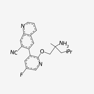 CC(C)CC(C)(N)COc1ncc(F)cc1-c1cc2cccnc2cc1C#N